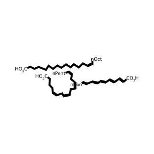 CCCCC/C=C\C/C=C\C/C=C\C/C=C\CCCC(=O)O.CCCCCCCC/C=C\CCCCCCCCCCCCCC(=O)O.CCCCCCCCC/C=C/C=C/C=C/C=C/C=C/C(=O)O